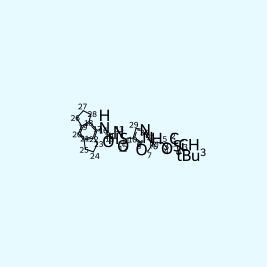 CC(C)(C)[Si](C)(C)OC[C@H]1COc2c([SH](=O)=NC(=O)Nc3c4c(cc5c3CCC5)CCC4)cnn21